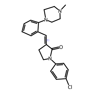 CN1CCN(c2ccccc2/C=C2\CCN(c3ccc(Cl)cc3)C2=O)CC1